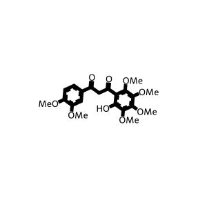 COc1ccc(C(=O)CC(=O)c2c(O)c(OC)c(OC)c(OC)c2OC)cc1OC